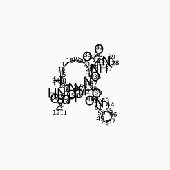 O=C1N[C@]2(C(=O)NS(=O)(=O)C3CC3)C[C@H]2/C=C\CCCCC[C@H](Nc2c(N3CCC3)c(=O)c2=O)C(=O)N2C[C@H](OC(=O)N3CCc4ccccc4C3)C[C@@H]12